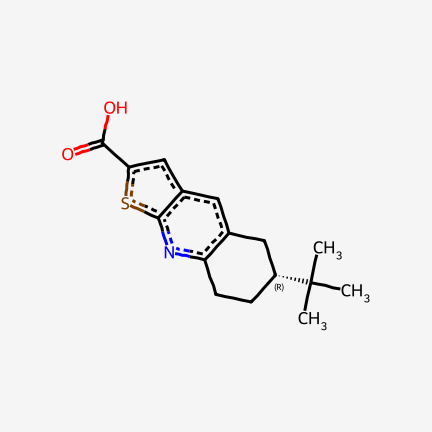 CC(C)(C)[C@@H]1CCc2nc3sc(C(=O)O)cc3cc2C1